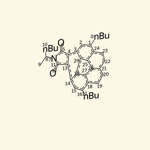 CCCCc1cc2c3c(=O)n(C(C)CCCC)c(=O)c3c3cc(CCCC)c4ccc5ccc1c1c5c4c3c21